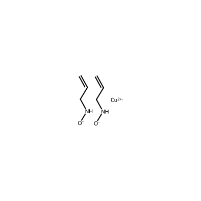 C=CCN[O-].C=CCN[O-].[Cu+2]